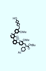 COc1cc(-c2nccc(-c3cccc(-c4ccc(CN(C(=O)OC(C)(C)C)C5CCN(C(C)=O)CC5)c(OC)n4)c3Cl)c2Cl)ccc1CN1CC2(CC(O)C2)C1